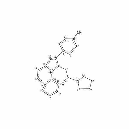 O=C(Cc1c(-c2ccc(Cl)cc2)nc2ccc3ccccc3n12)N1CCCC1